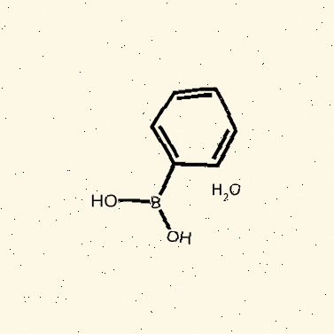 O.OB(O)c1ccccc1